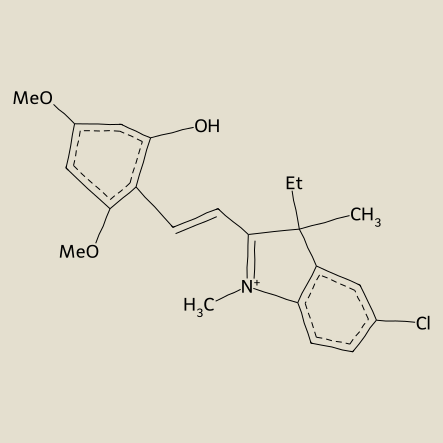 CCC1(C)C(/C=C/c2c(O)cc(OC)cc2OC)=[N+](C)c2ccc(Cl)cc21